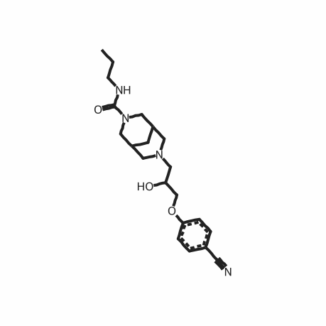 CCCNC(=O)N1CC2CC(CN(CC(O)COc3ccc(C#N)cc3)C2)C1